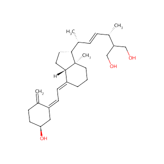 C=C1CC[C@H](O)C/C1=C/C=C1\CCC[C@]2(C)[C@@H]([C@H](C)/C=C/[C@H](C)C(CO)CO)CC[C@@H]12